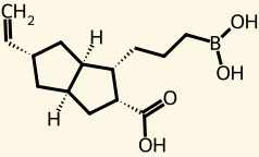 C=C[C@H]1C[C@@H]2C[C@@H](C(=O)O)[C@@H](CCCB(O)O)[C@@H]2C1